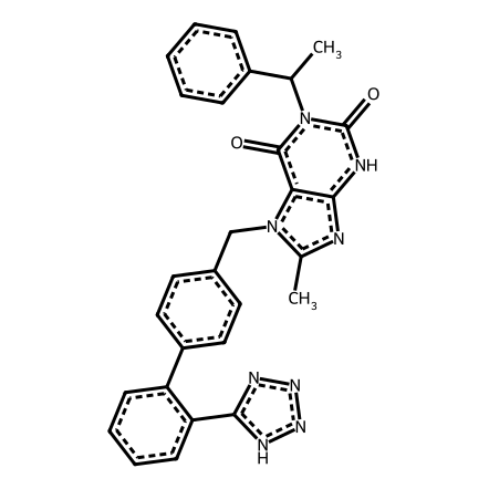 Cc1nc2[nH]c(=O)n(C(C)c3ccccc3)c(=O)c2n1Cc1ccc(-c2ccccc2-c2nnn[nH]2)cc1